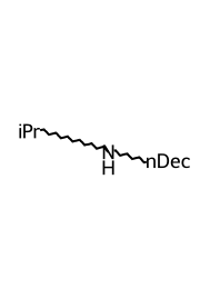 CCCCCCCCCCCCCCCCNCCCCCCCCCCCC(C)C